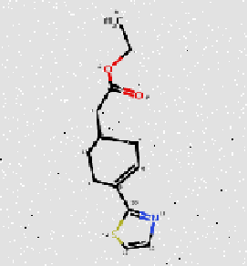 CCOC(=O)CC1CC=C(c2nccs2)CC1